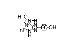 CCCNc1nc(C23CCC(O)(CC2)CC3)[nH]c1C1=NC[C@H](C)N1